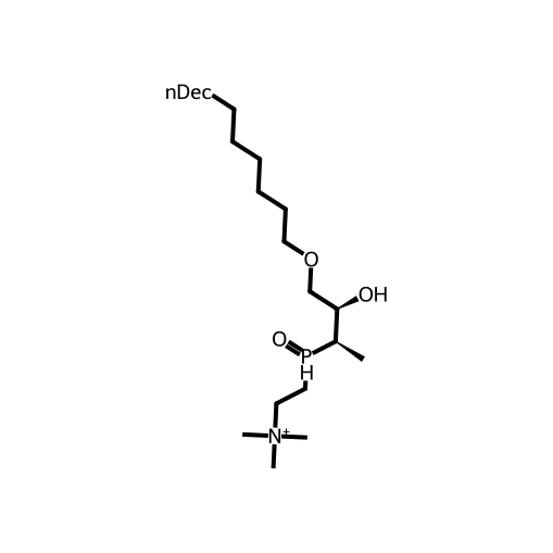 CCCCCCCCCCCCCCCCOC[C@@H](O)[C@@H](C)[PH](=O)CC[N+](C)(C)C